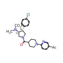 CC(=O)c1ccc(N2CCC(C(=O)N3C[C@@H](N(C)C(=O)O)[C@H](c4ccc(Cl)cc4)C3)CC2)nc1